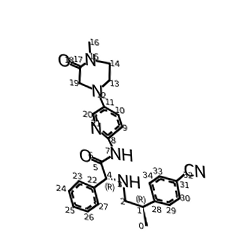 C[C@@H](CN[C@@H](C(=O)Nc1ccc(N2CCN(C)C(=O)C2)cn1)c1ccccc1)c1ccc(C#N)cc1